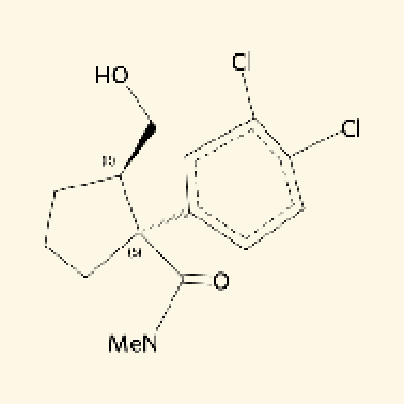 CNC(=O)[C@@]1(c2ccc(Cl)c(Cl)c2)CCC[C@H]1CO